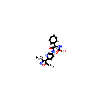 Cc1noc(C)c1-c1ccc(NC(=O)C(NC(=O)O)C2CCCCCC2)cn1